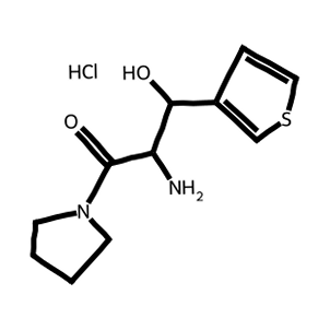 Cl.NC(C(=O)N1CCCC1)C(O)c1ccsc1